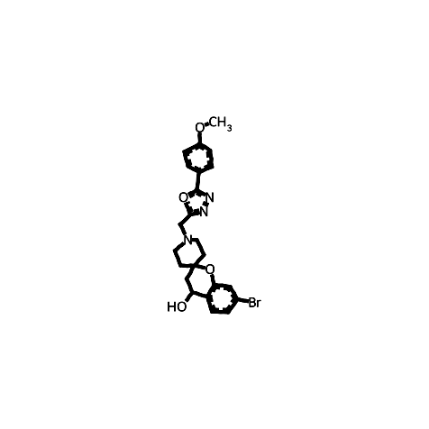 COc1ccc(-c2nnc(CN3CCC4(CC3)CC(O)c3ccc(Br)cc3O4)o2)cc1